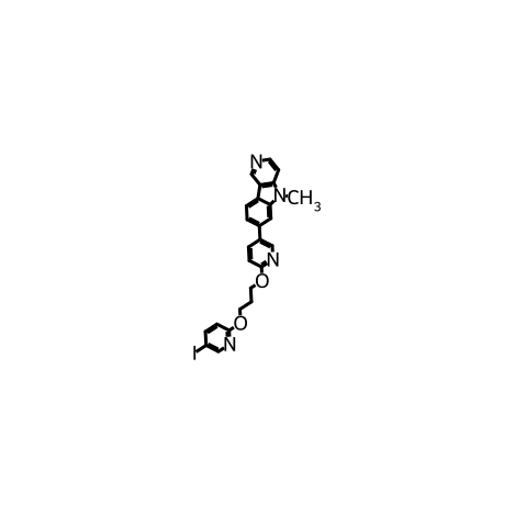 Cn1c2ccncc2c2ccc(-c3ccc(OCCCOc4ccc(I)cn4)nc3)cc21